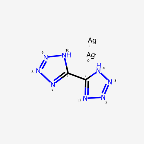 [Ag].[Ag].n1n[nH]c(-c2nnn[nH]2)n1